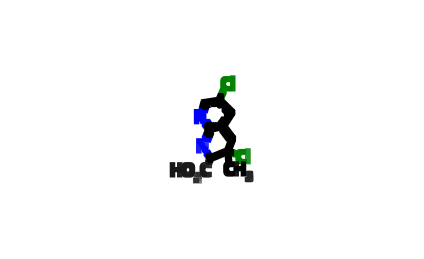 CC1(Cl)C=c2cc(Cl)cnc2=NC1C(=O)O